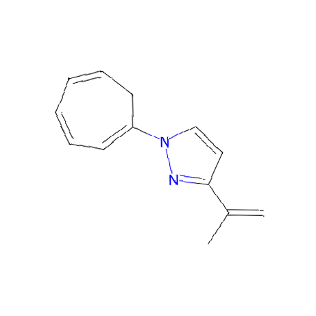 C=C(C)c1ccn(C2=CC=CC=CC2)n1